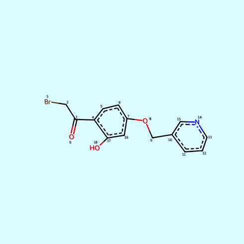 O=C(CBr)c1ccc(OCc2cccnc2)cc1O